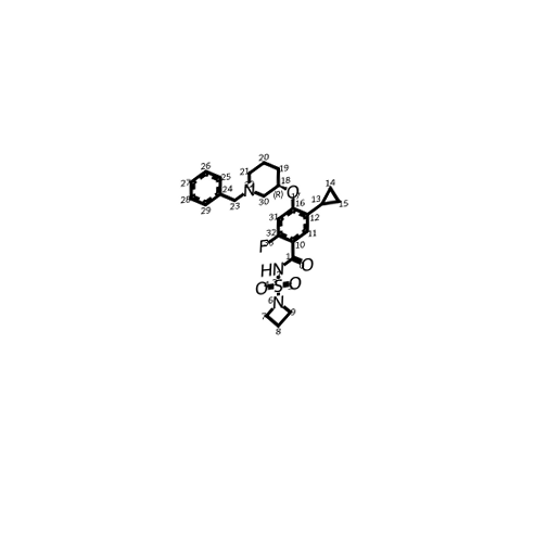 O=C(NS(=O)(=O)N1CCC1)c1cc(C2CC2)c(O[C@@H]2CCCN(Cc3ccccc3)C2)cc1F